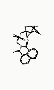 CC1(C)C2CC(=O)C13CC3(CS(=O)(=O)ON1C(=O)c3cccc4cccc(c34)C1=O)C2